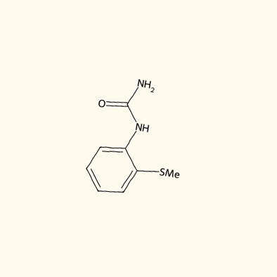 CSc1ccccc1NC(N)=O